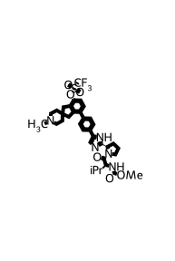 COC(=O)N[C@H](C(=O)N1CCC[C@H]1c1ncc(-c2ccc(-c3ccc(OS(=O)(=O)C(F)(F)F)c4c3CC3(CCN(C)CC3)C4)cc2)[nH]1)C(C)C